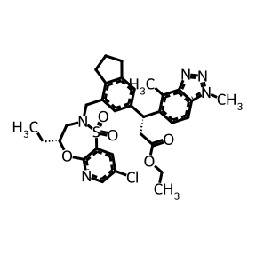 CCOC(=O)C[C@H](c1cc2c(c(CN3C[C@@H](CC)Oc4ncc(Cl)cc4S3(=O)=O)c1)CCC2)c1ccc2c(nnn2C)c1C